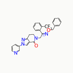 O=C1c2cn(-c3cccnc3)nc2CCN1C/C(=N/OCc1ccccc1)c1ccccc1C(F)(F)F